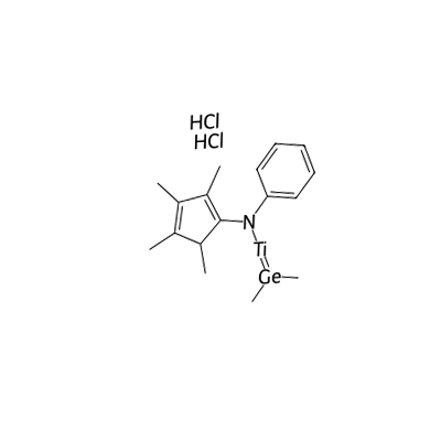 CC1=C(C)C(C)C([N]([Ti]=[Ge]([CH3])[CH3])c2ccccc2)=C1C.Cl.Cl